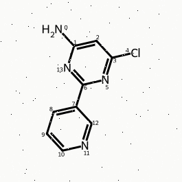 Nc1cc(Cl)nc(-c2cccnc2)n1